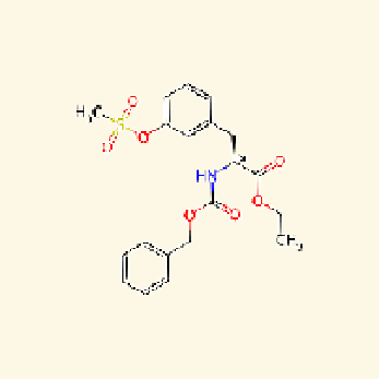 CCOC(=O)[C@H](Cc1cccc(OS(C)(=O)=O)c1)NC(=O)OCc1ccccc1